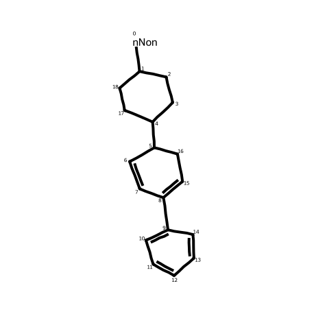 CCCCCCCCCC1CCC(C2C=CC(c3ccccc3)=CC2)CC1